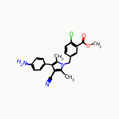 COC(=O)c1cc(Cn2c(C)c(C#N)c(-c3ccc(N)cc3)c2C)ccc1Cl